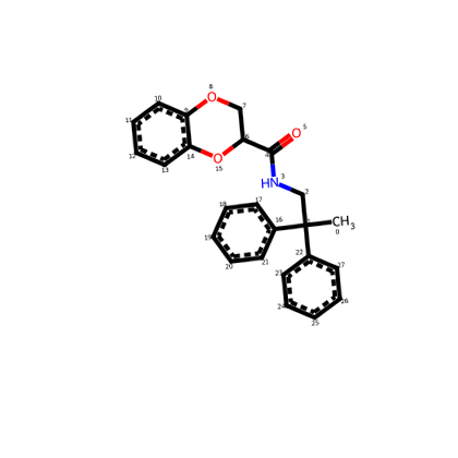 CC(CNC(=O)C1COc2ccccc2O1)(c1ccccc1)c1ccccc1